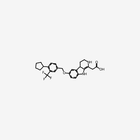 O=C(O)CC1=C2Nc3ccc(OCc4ccc(C5CCCC5)c(C(F)(F)F)c4)cc3C2CCN1